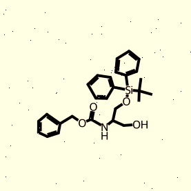 CC(C)(C)[Si](OCC(CO)NC(=O)OCc1ccccc1)(c1ccccc1)c1ccccc1